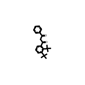 CC(C)(C)c1cccc(C(=O)CC(=O)c2ccccc2)c1C(C)(C)C